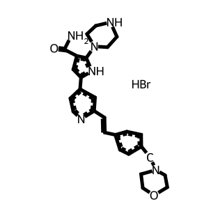 Br.NC(=O)c1cc(-c2ccnc(/C=C/c3ccc(CN4CCOCC4)cc3)c2)[nH]c1N1CCNCC1